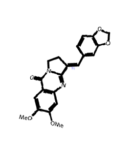 COc1cc2nc3n(c(=O)c2cc1OC)CC/C3=C\c1ccc2c(c1)OCO2